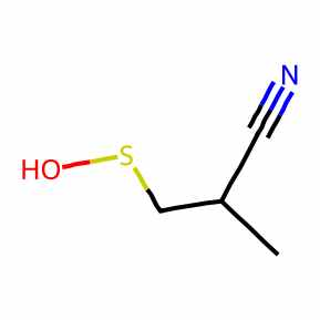 CC(C#N)CSO